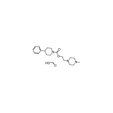 CN1CCN(CCOC(=O)N2CCC(c3ccccc3)CC2)CC1.O=CO